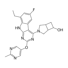 CCc1cc(F)cc2c1[nH]c1nc(Oc3cnc(C)nc3)nc(N3CC4CC(O)C4C3)c12